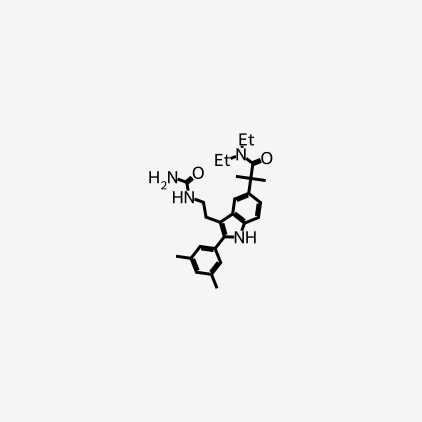 CCN(CC)C(=O)C(C)(C)c1ccc2[nH]c(-c3cc(C)cc(C)c3)c(CCNC(N)=O)c2c1